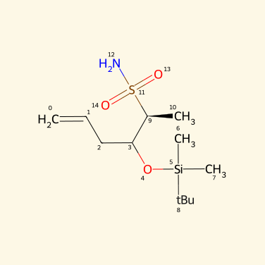 C=CCC(O[Si](C)(C)C(C)(C)C)[C@H](C)S(N)(=O)=O